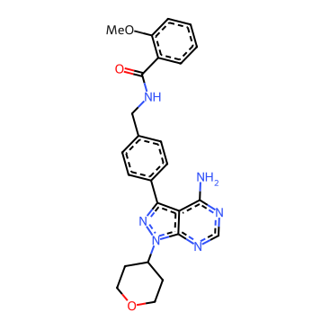 COc1ccccc1C(=O)NCc1ccc(-c2nn(C3CCOCC3)c3ncnc(N)c23)cc1